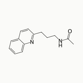 CC(=O)NCCCc1ccc2ccccc2n1